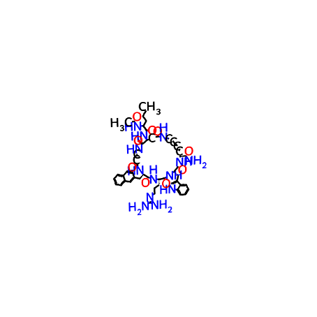 CCCCC(NC(C)=O)C(=O)N[C@H]1CC(=O)NCCCC[C@@H](C(N)=O)NC(=O)[C@H](Cc2c[nH]c3ccccc23)NC(=O)[C@H](CCCN=C(N)N)NC(=O)[C@@H](Cc2ccc3ccccc3c2)NC(=O)CCNC1=O